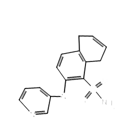 NS(=O)(=O)c1c(Nc2cccnc2)ccc2c1CC=CC2